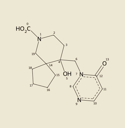 O=C(O)N1CCC(O)(Cn2cnccc2=O)C2(CCCC2)C1